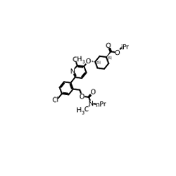 CCCN(C)C(=O)OCc1cc(Cl)ccc1-c1ccc(O[C@H]2CCC[C@H](C(=O)OC(C)C)C2)c(C)n1